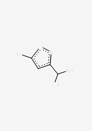 CCc1cc(C(C)N)no1